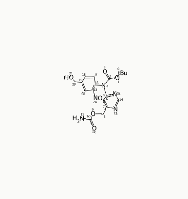 CC(C)(C)OC(=O)N(c1cc(COC(N)=O)ncn1)c1ccc(CO)cc1[N+](=O)[O-]